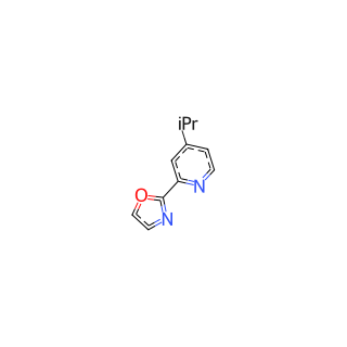 CC(C)c1ccnc(-c2ncco2)c1